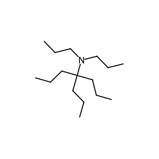 CCCN(CCC)C(CCC)(CCC)CCC